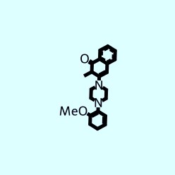 COC1=C(N2CCN(C3=Cc4ccccc4C(=O)C3C)CC2)C=CCC1